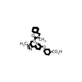 CN(Cc1c#cccc1)C(=O)OCc1c(-c2ccc(O[C@H]3CCC[C@H](C(=O)O)C3)cn2)nnn1C